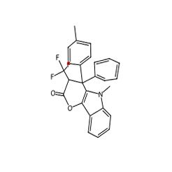 Cc1ccc(C2(c3ccccc3)c3c(c4ccccc4n3C)OC(=O)C2C(F)(F)F)cc1